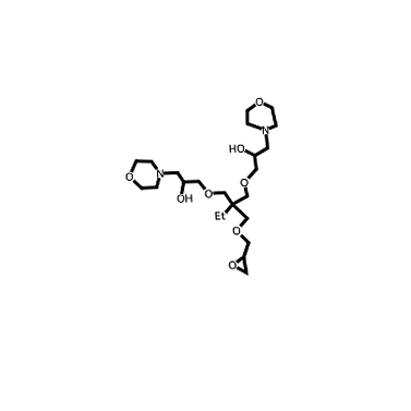 CCC(COCC(O)CN1CCOCC1)(COCC(O)CN1CCOCC1)COCC1CO1